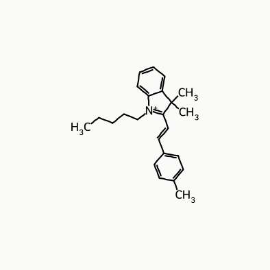 CCCCC[N+]1=C(/C=C/c2ccc(C)cc2)C(C)(C)c2ccccc21